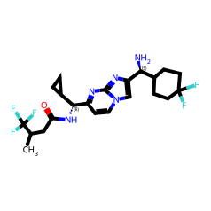 CC(CC(=O)N[C@@H](c1ccn2cc([C@@H](N)C3CCC(F)(F)CC3)nc2n1)C1CC1)C(F)(F)F